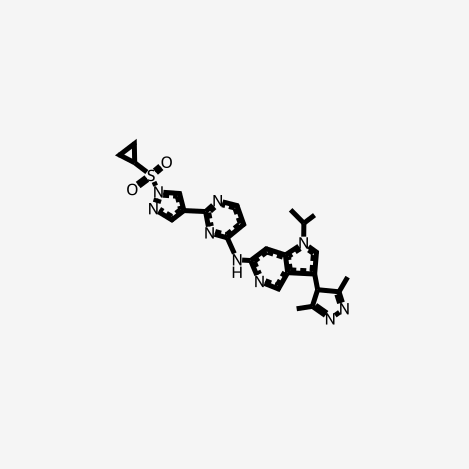 CC1=NN=C(C)C1c1cn(C(C)C)c2cc(Nc3ccnc(-c4cnn(S(=O)(=O)C5CC5)c4)n3)ncc12